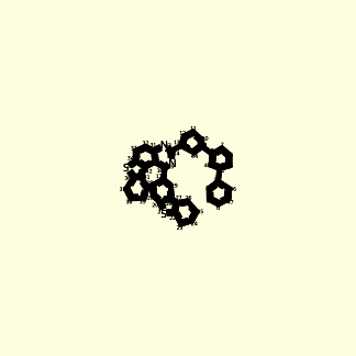 c1ccc(-c2cccc(-c3cccc(-c4nc(-c5ccc6sc7ccccc7c6c5)c5c(ccc6sc7ccccc7c65)n4)c3)c2)cc1